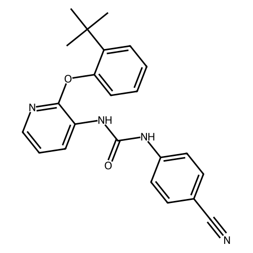 CC(C)(C)c1ccccc1Oc1ncccc1NC(=O)Nc1ccc(C#N)cc1